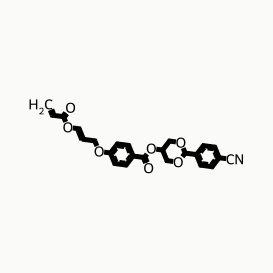 C=CC(=O)OC=CCOc1ccc(C(=O)OC2COC(c3ccc(C#N)cc3)OC2)cc1